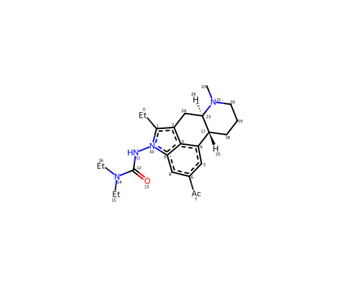 CCc1c2c3c(cc(C(C)=O)cc3n1NC(=O)N(CC)CC)[C@H]1CCCN(C)[C@@H]1C2